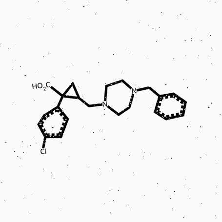 O=C(O)C1(c2ccc(Cl)cc2)CC1CN1CCN(Cc2ccccc2)CC1